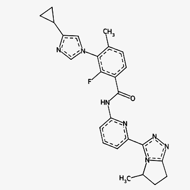 Cc1ccc(C(=O)Nc2cccc(-c3nnc4n3C(C)CC4)n2)c(F)c1-n1cnc(C2CC2)c1